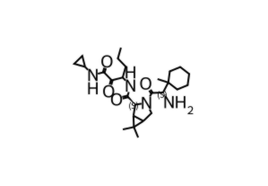 CCCC(NC(=O)[C@@H]1C2C(CN1C(=O)[C@@H](N)C1(C)CCCCC1)C2(C)C)C(=O)C(=O)NC1CC1